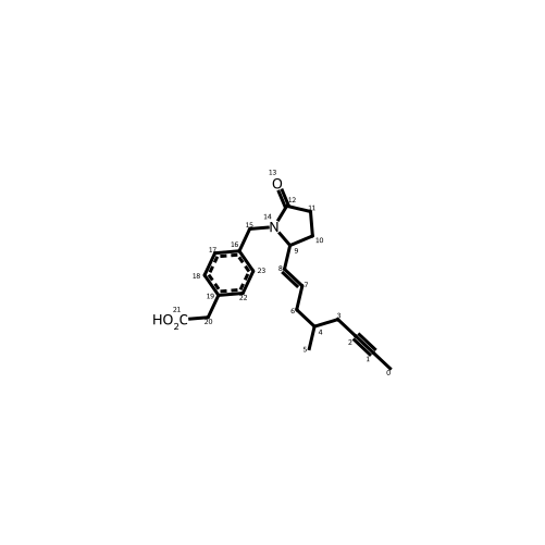 CC#CCC(C)C/C=C/C1CCC(=O)N1Cc1ccc(CC(=O)O)cc1